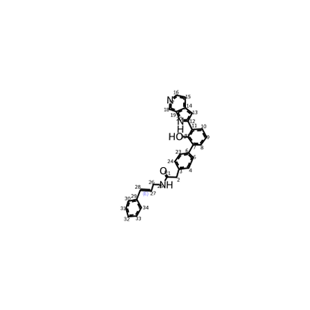 O=C(Cc1ccc(-c2cccc(-c3cc4ccncc4[nH]3)c2O)cc1)NC/C=C/c1ccccc1